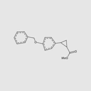 COC(=O)C1CC1c1ccc(OCc2ccccc2)cc1